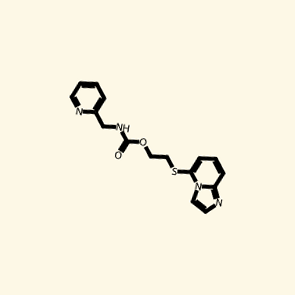 O=C(NCc1ccccn1)OCCSc1cccc2nccn12